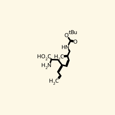 C=C/C=C(\C=C/C(=C)CNC(=O)OC(C)(C)C)CC(N)C(=O)O